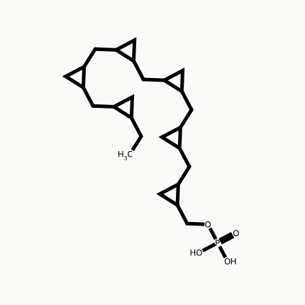 CCC1CC1CC1CC1CC1CC1CC1CC1CC1CC1CC1CC1COP(=O)(O)O